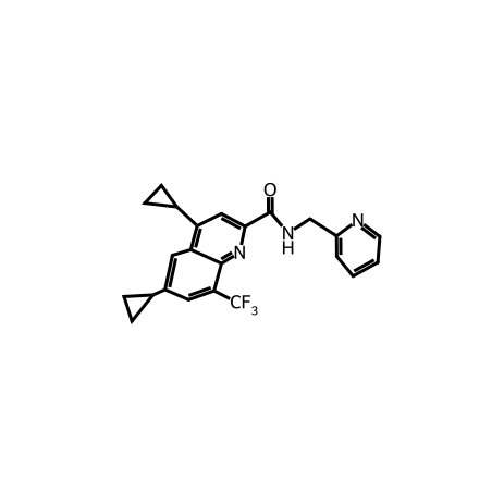 O=C(NCc1ccccn1)c1cc(C2CC2)c2cc(C3CC3)cc(C(F)(F)F)c2n1